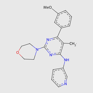 [CH2]c1c(Nc2cccnc2)nc(N2CCOCC2)nc1-c1cccc(OC)c1